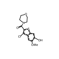 COc1cc2c(Cl)c(C(=O)N3CCOCC3)sc2cc1O